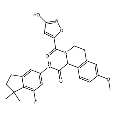 COc1ccc2c(c1)CCN(C(=O)c1cc(O)no1)C2C(=O)Nc1cc(F)c2c(c1)CCC2(C)C